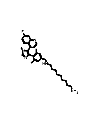 Cc1cc(CNCCCCCCCCCN)cc(C)c1-c1ncn(C)c1-c1ccnc2cc(F)ccc12